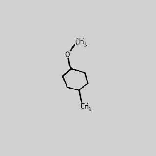 COC1CC[C](C)CC1